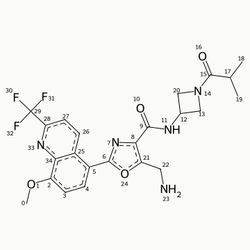 COc1ccc(-c2nc(C(=O)NC3CN(C(=O)C(C)C)C3)c(CN)o2)c2ccc(C(F)(F)F)nc12